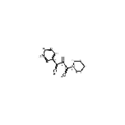 O=C(NC(=O)N1CCCCC1)c1cccnc1